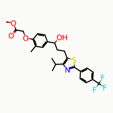 COC(=O)COc1ccc([C@@H](O)CCc2sc(-c3ccc(C(F)(F)F)cc3)nc2C(C)C)cc1C